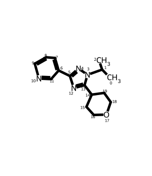 CC(C)n1nc(-c2c[c]cnc2)nc1C1CCOCC1